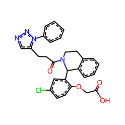 O=C(O)COc1ccc(Cl)cc1C1c2ccccc2CCN1C(=O)CCc1cnnn1-c1ccccc1